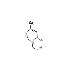 CC(=O)c1ccc2cc[c]cc2c1